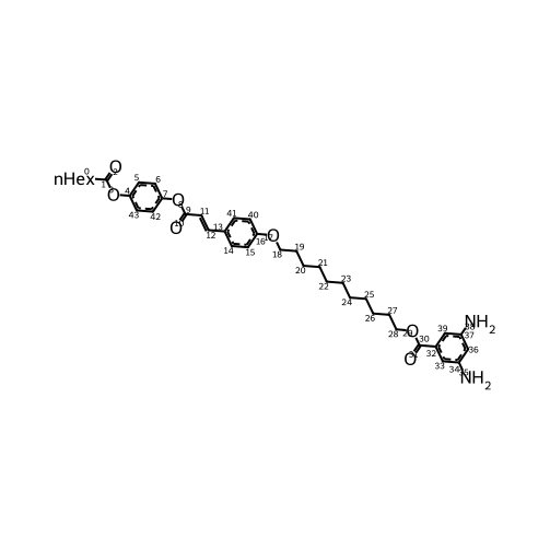 CCCCCCC(=O)Oc1ccc(OC(=O)C=Cc2ccc(OCCCCCCCCCCCOC(=O)c3cc(N)cc(N)c3)cc2)cc1